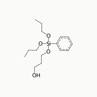 CCCO[Si](OCCC)(OCCCO)c1ccccc1